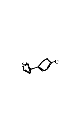 ClC1=CC=C(c2ccsn2)CC1